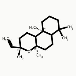 C=C[C@]1(C)CCC2[C@@]3(C)CCCC(C)(C)C3CC[C@@]2(C)O1